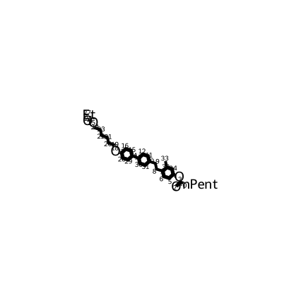 [CH2+][CH-]CCCC(=O)Oc1ccc(CCc2ccc(-c3ccc(OCCCCCCOOCC)cc3)cc2)c(C)c1